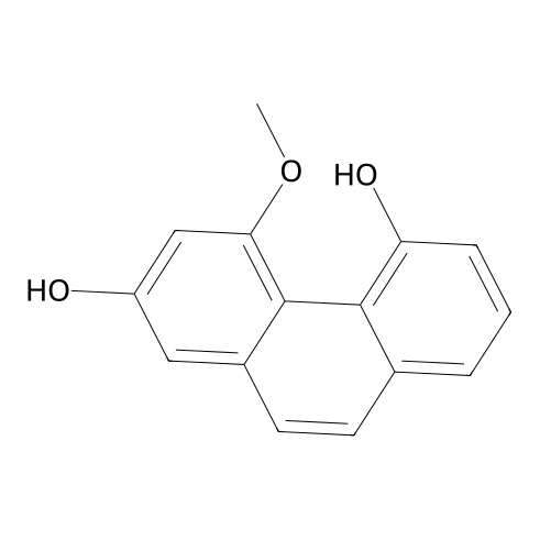 COc1cc(O)cc2ccc3cccc(O)c3c12